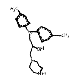 Cc1ccc(N(CC(O)CN2CCNCC2)c2ccc(C)cc2)cc1